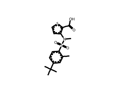 Cc1cc(C(C)(C)C)ccc1S(=O)(=O)N(C)c1ccsc1C(=O)O